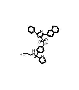 CC(NCCO)(c1ccc(NS(=O)(=O)c2sc(-c3ccccc3)nc2-c2ccc3ccccc3c2)cc1)c1ccccn1